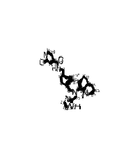 O=C(NCc1ccc(CN(Cc2ncc[nH]2)C2CCCc3cccnc32)cc1)c1ccnc(Cl)c1